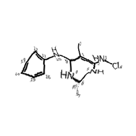 CC1=C(NCl)N[C@H](C)NC1Nc1ccccc1